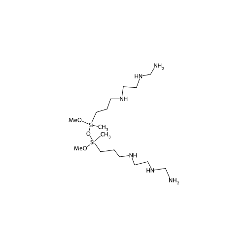 CO[Si](C)(CCCNCCNCN)O[Si](C)(CCCNCCNCN)OC